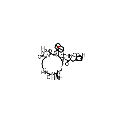 N=C1NCCC[C@@H](NC(=O)C(Cc2ccccc2)NC(=O)O)C(=O)N[C@@H](CC23CC4CC(CC(C4)C2)C3)C(=O)N[C@H](C(N)=O)CCCCNC(=O)N1